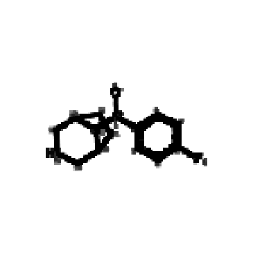 [O-][S+](c1ccc(F)cc1)N1C2CCC1CNC2